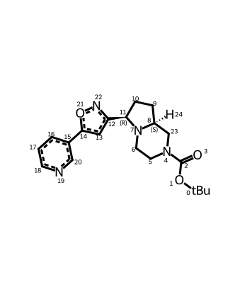 CC(C)(C)OC(=O)N1CCN2[C@@H](CC[C@@H]2c2cc(-c3cccnc3)on2)C1